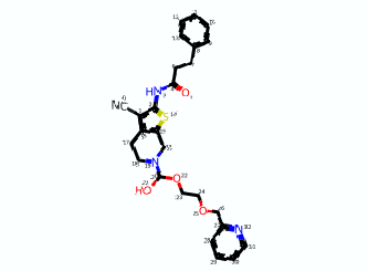 N#Cc1c(NC(=O)CCc2ccccc2)sc2c1CCN(C(O)OCCOCc1ccccn1)C2